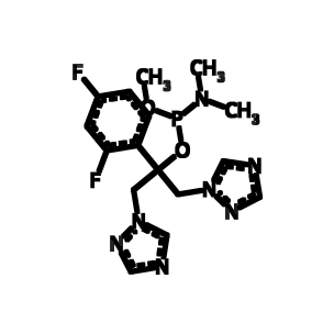 COP(OC(Cn1cncn1)(Cn1cncn1)c1ccc(F)cc1F)N(C)C